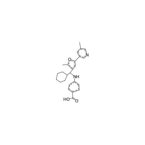 Cc1cncc(-c2cc(C(Nc3ccc(C(=O)O)cc3)C3CCCCC3)c(C)o2)c1